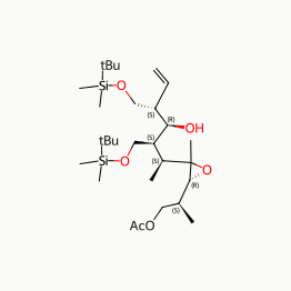 C=C[C@@H](CO[Si](C)(C)C(C)(C)C)[C@@H](O)[C@H](CO[Si](C)(C)C(C)(C)C)[C@H](C)C1(C)O[C@@H]1[C@@H](C)COC(C)=O